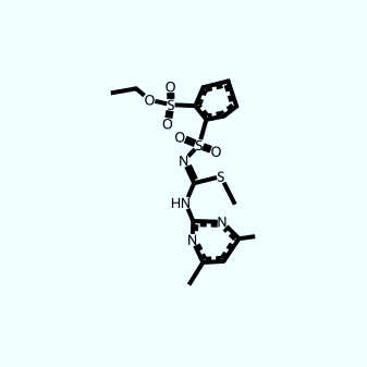 CCOS(=O)(=O)c1ccccc1S(=O)(=O)N=C(Nc1nc(C)cc(C)n1)SC